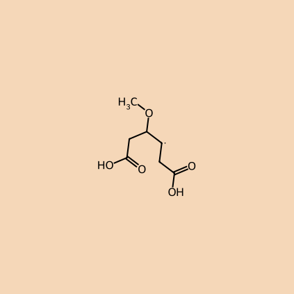 COC([CH]CC(=O)O)CC(=O)O